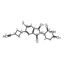 C#CC1CN(c2cc3c(cc2F)C(=O)N(C2CCC(=O)NC2=O)C3=O)C1